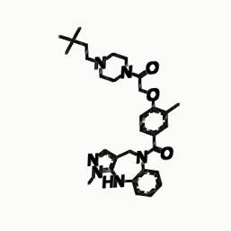 Cc1cc(C(=O)N2Cc3cnn(C)c3Nc3ccccc32)ccc1OCC(=O)N1CCN(CCC(C)(C)C)CC1